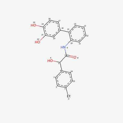 CCc1ccc(C(O)C(=O)Nc2ccccc2-c2ccc(O)c(O)c2)cc1